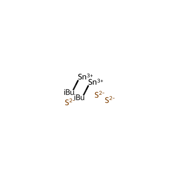 CC[CH](C)[Sn+3].CC[CH](C)[Sn+3].[S-2].[S-2].[S-2]